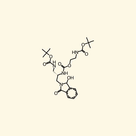 CC(C)(C)OC(=O)NCCOC(=O)N[C@@H](CNC(=O)OC(C)(C)C)CN1C(=O)c2ccccc2C1O